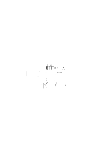 CC(C)C(=O)CC(=O)O.CCCCCCC(C)ON=O